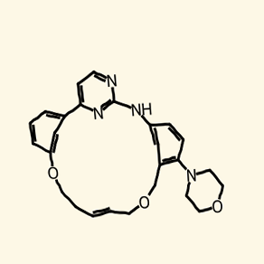 C1=C/COCc2cc(ccc2N2CCOCC2)Nc2nccc(n2)-c2cccc(c2)OCC/1